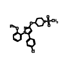 CC(C)Oc1ccccc1-n1nc(OC2CCN(S(C)(=O)=O)CC2)cc1-c1ccc(Cl)cc1